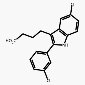 O=C(O)CCCc1c(-c2cccc(Cl)c2)[nH]c2ccc(Cl)cc12